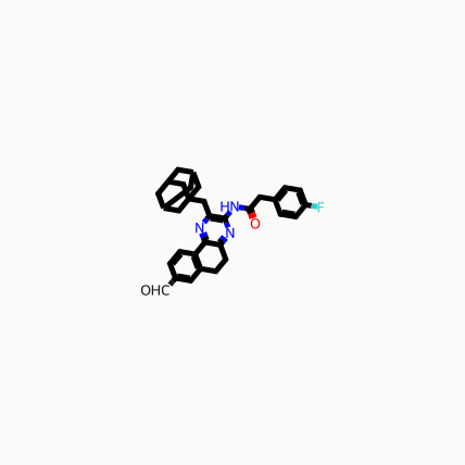 O=Cc1ccc2c(c1)CCc1nc(NC(=O)Cc3ccc(F)cc3)c(CC34CC5CC(CC(C5)C3)C4)nc1-2